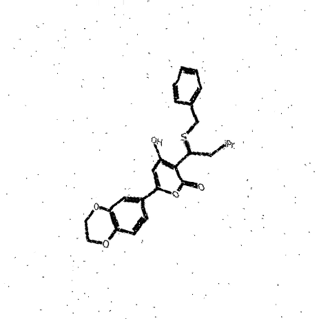 CC(C)CC(SCc1ccccc1)c1c(O)cc(-c2ccc3c(c2)OCCO3)oc1=O